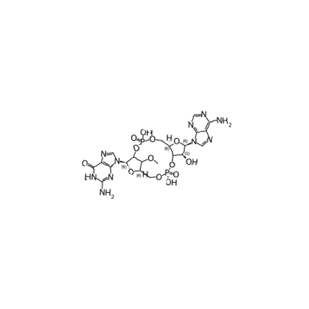 COC1C2OP(=O)(O)OC[C@H]3O[C@@H](n4cnc5c(N)ncnc54)[C@@H](O)C3OP(=O)(O)OC[C@H]1O[C@H]2n1cnc2c(=O)[nH]c(N)nc21